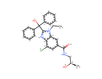 CCn1c(C(O)(c2ccccc2)c2ccccc2)nc2c(Cl)cc(C(=O)NC[C@@H](C)O)cc21